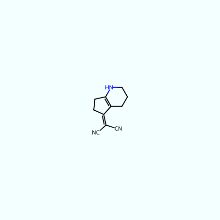 N#CC(C#N)=C1CCC2=C1CCCN2